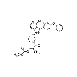 C=C(COC(=O)OC)C(=O)N1CCC[C@@H](n2nc(-c3ccc(Oc4ccccc4)cc3)c3c(N)ncnc32)C1